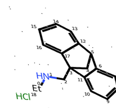 CCNCC12CC(c3ccccc31)c1ccccc12.Cl